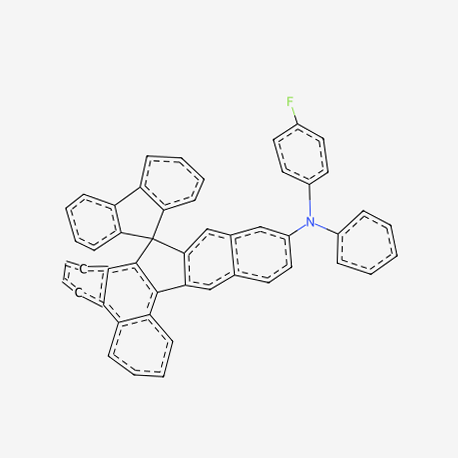 Fc1ccc(N(c2ccccc2)c2ccc3cc4c(cc3c2)C2(c3ccccc3-c3ccccc32)c2c-4c3ccccc3c3ccccc23)cc1